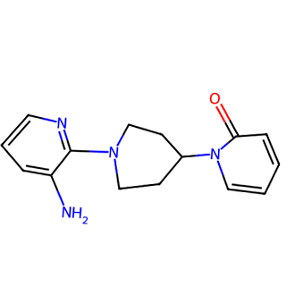 Nc1cccnc1N1CCC(n2ccccc2=O)CC1